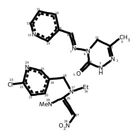 CC1=NNC(=O)N(/N=C/c2cccnc2)C1.CCN(Cc1ccc(Cl)nc1)/C(=C/[N+](=O)[O-])NC